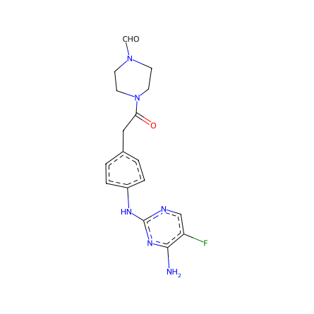 Nc1nc(Nc2ccc(CC(=O)N3CCN(C=O)CC3)cc2)ncc1F